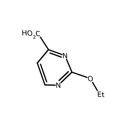 CCOc1nccc(C(=O)O)n1